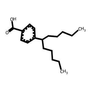 CCCCCC(CCCCC)c1ccc(C(=O)O)cc1